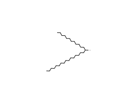 [CH2]C(CCCCCCCCCCCC)CCCCCCCCCCCCCCCC